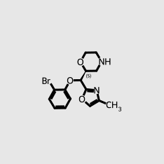 Cc1coc(C(Oc2ccccc2Br)[C@@H]2CNCCO2)n1